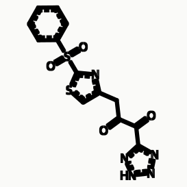 O=C(Cc1csc(S(=O)(=O)c2ccccc2)n1)C(=O)c1nn[nH]n1